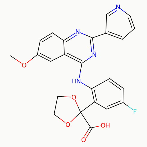 COc1ccc2nc(-c3cccnc3)nc(Nc3ccc(F)cc3C3(C(=O)O)OCCO3)c2c1